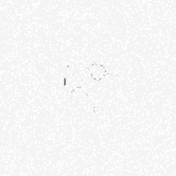 CCCCC1=C(C)C=CC(Oc2ccc(N)cc2)(C(C)(C)C)C1